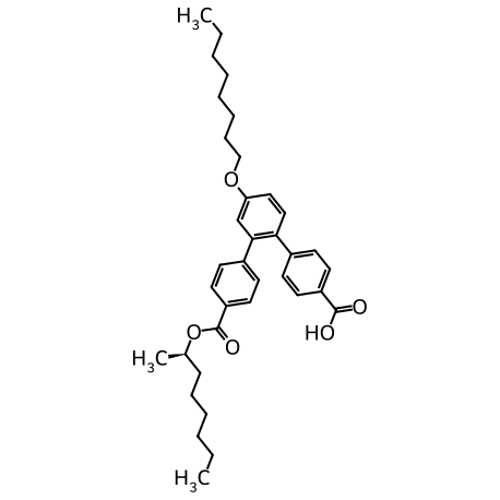 CCCCCCCCOc1ccc(-c2ccc(C(=O)O)cc2)c(-c2ccc(C(=O)O[C@H](C)CCCCCC)cc2)c1